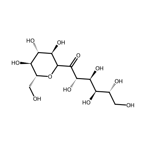 O=C(C1O[C@H](CO)[C@@H](O)[C@H](O)[C@H]1O)[C@@H](O)[C@@H](O)[C@H](O)[C@H](O)CO